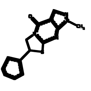 Cn1ncc2c(=O)n3c(nc21)SC(c1ccccc1)C3